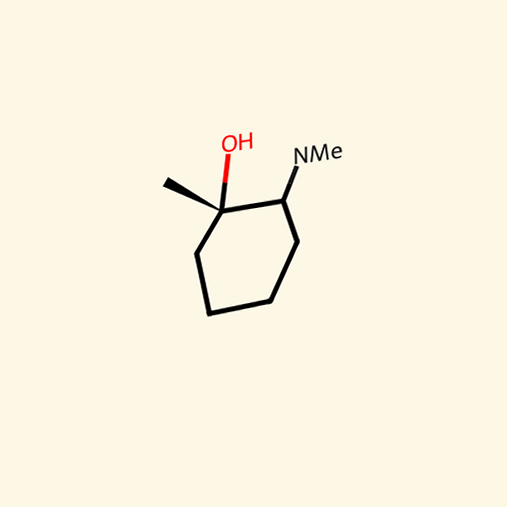 CNC1CCCC[C@]1(C)O